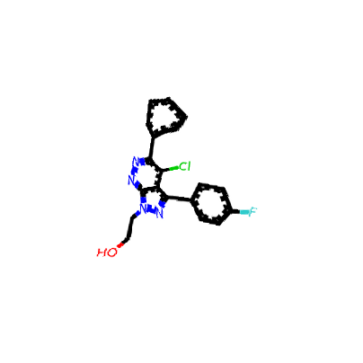 OCCn1nc(-c2ccc(F)cc2)c2c(Cl)c(-c3ccccc3)nnc21